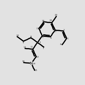 C/C=C\c1cc(C(C)(CCC)/C(C)=C/N(C)C)ccc1C